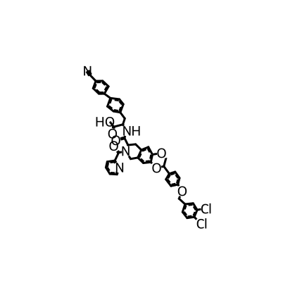 N#Cc1ccc(-c2ccc(CC(NC(=O)C3Cc4cc5c(cc4CN3C(=O)c3ccccn3)OC(c3ccc(OCc4ccc(Cl)c(Cl)c4)cc3)CO5)C(=O)O)cc2)cc1